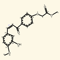 COC(=O)COc1ccc(C(=O)/C=C\c2ccc(OC)c(O)c2)cc1